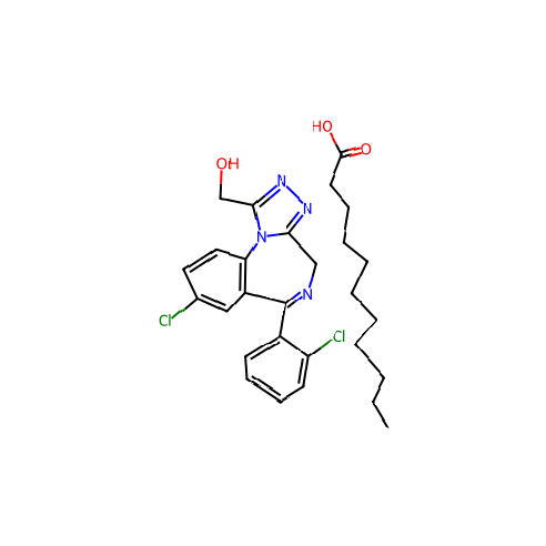 CCCCCCCCCCC(=O)O.OCc1nnc2n1-c1ccc(Cl)cc1C(c1ccccc1Cl)=NC2